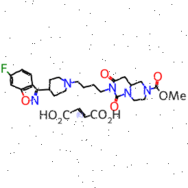 COC(=O)N1CCN2C(=O)N(CCCCN3CCC(c4noc5cc(F)ccc45)CC3)C(=O)CC2C1.O=C(O)/C=C/C(=O)O